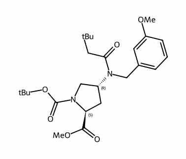 COC(=O)[C@@H]1C[C@@H](N(Cc2cccc(OC)c2)C(=O)CC(C)(C)C)CN1C(=O)OC(C)(C)C